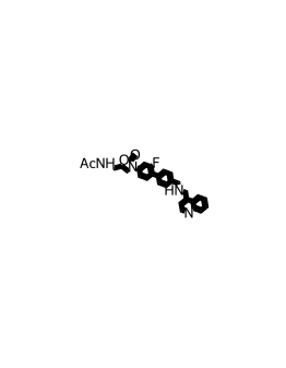 CC(=O)NCC1CN(c2ccc(-c3ccc(CNCc4ccnc5ccccc45)cc3)c(F)c2)C(=O)O1